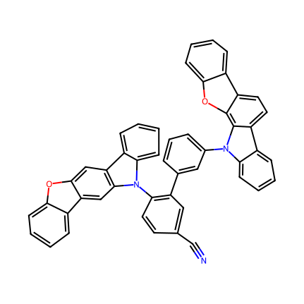 N#Cc1ccc(-n2c3ccccc3c3cc4oc5ccccc5c4cc32)c(-c2cccc(-n3c4ccccc4c4ccc5c6ccccc6oc5c43)c2)c1